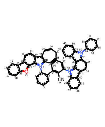 N#CC1=C(c2ccccc2-n2c3c(c4ccc5c6ccccc6oc5c42)C=CCC#C3)CCC=C1n1c2ccccc2c2ccc3c(c4ccccc4n3-c3ccccc3)c21